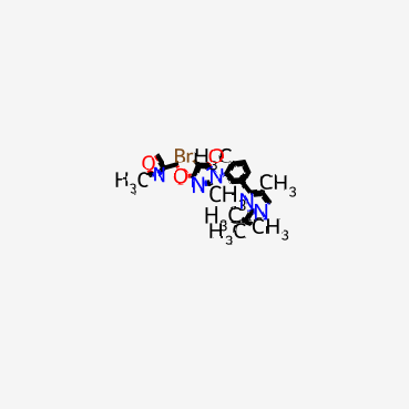 Cc1nc(COc2nc(C)n(-c3cc(-c4nc(C(C)(C)C)ncc4C)ccc3C)c(=O)c2Br)co1